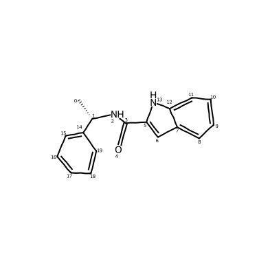 C[C@H](NC(=O)c1cc2ccccc2[nH]1)c1ccccc1